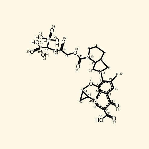 COc1c(N2CC3CCCN(C(=O)OCC(=O)NC(P(=O)(O)O)P(=O)(O)O)C3C2)c(F)cc2c(=O)c(C(=O)O)cn(C3CC3)c12